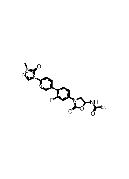 CCC(=O)NC1CN(c2ccc(-c3ccc(-n4cnn(C)c4=O)nc3)c(F)c2)C(=O)O1